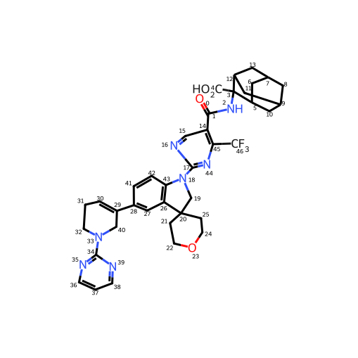 O=C(NC1(C(=O)O)C2CC3CC(C2)CC1C3)c1cnc(N2CC3(CCOCC3)c3cc(C4=CCCN(c5ncccn5)C4)ccc32)nc1C(F)(F)F